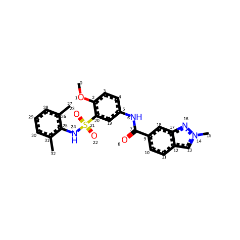 COc1ccc(NC(=O)c2ccc3cn(C)nc3c2)cc1S(=O)(=O)Nc1c(C)cccc1C